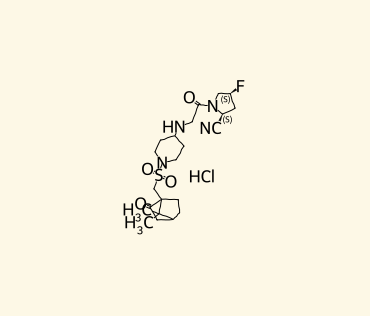 CC1(C)C2CCC1(CS(=O)(=O)N1CCC(NCC(=O)N3C[C@@H](F)C[C@H]3C#N)CC1)C(=O)C2.Cl